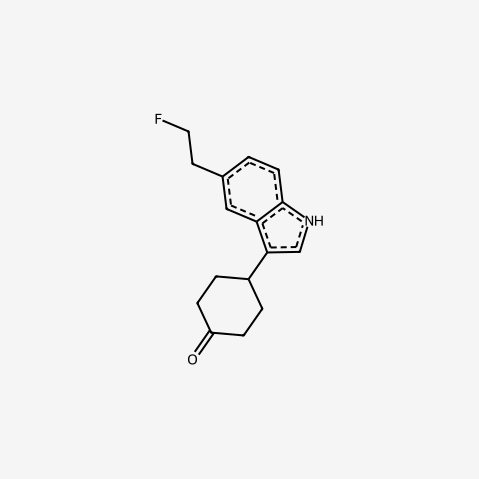 O=C1CCC(c2c[nH]c3ccc(CCF)cc23)CC1